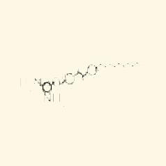 CCCCCCCCCCC1CCC(/C(C)=C(\C)C2CCC(COc3cc(N)cc(N)c3)CC2)CC1